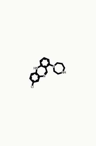 Clc1ccc2c(c1)N=Cc1c(cccc1N1CCCNCC1)N2